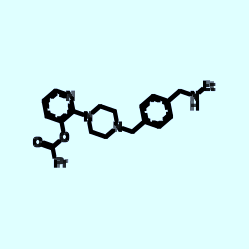 CCNCc1ccc(CN2CCN(c3ncccc3OC(=O)C(C)C)CC2)cc1